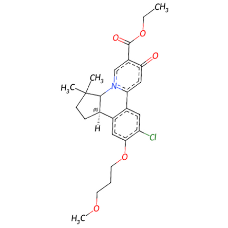 CCOC(=O)c1cn2c(cc1=O)-c1cc(Cl)c(OCCCOC)cc1[C@H]1CCC(C)(C)C12